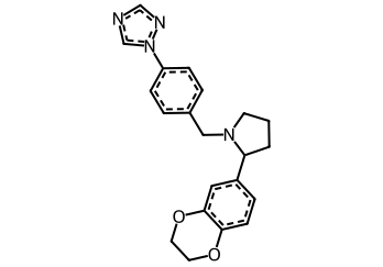 c1ncn(-c2ccc(CN3CCCC3c3ccc4c(c3)OCCO4)cc2)n1